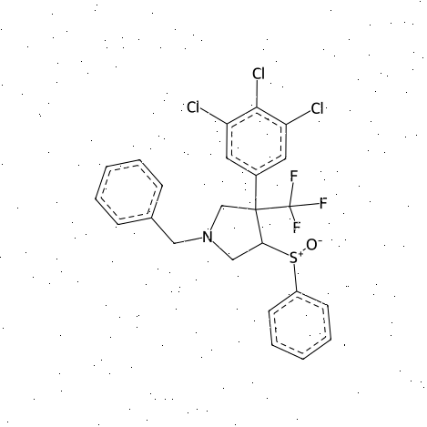 [O-][S+](c1ccccc1)C1CN(Cc2ccccc2)CC1(c1cc(Cl)c(Cl)c(Cl)c1)C(F)(F)F